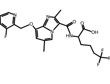 Cc1cc(OCc2ncccc2F)c2nc(C)c(C(=O)NC(CCCC(F)(F)F)C(=O)O)n2c1